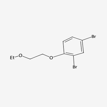 CCOCCOc1ccc(Br)cc1Br